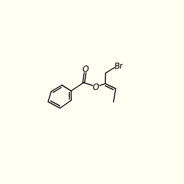 C/C=C(/CBr)OC(=O)c1ccccc1